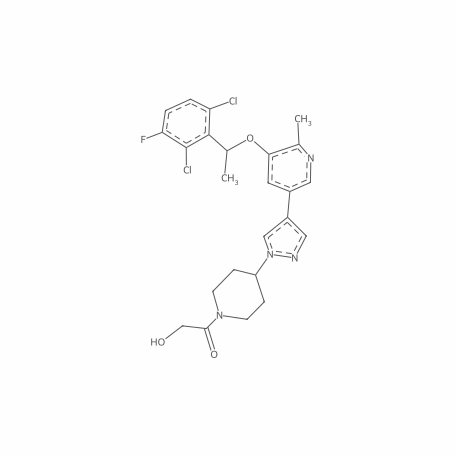 Cc1ncc(-c2cnn(C3CCN(C(=O)CO)CC3)c2)cc1OC(C)c1c(Cl)ccc(F)c1Cl